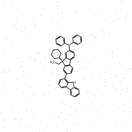 CCC1(C2CCCCC2)c2cc(-c3cccc4c3[nH]c3ccccc34)ccc2-c2ccc(N(c3ccccc3)c3ccccc3)cc21